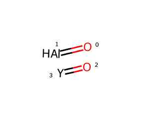 [O]=[AlH].[O]=[Y]